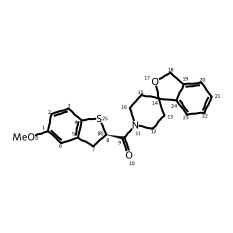 COc1ccc2c(c1)C[C@H](C(=O)N1CCC3(CC1)OCc1ccccc13)S2